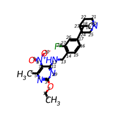 CCOc1nc(C)c([N+](=O)[O-])c(NCc2ccc(C3CN4CCC3CC4)cc2F)n1